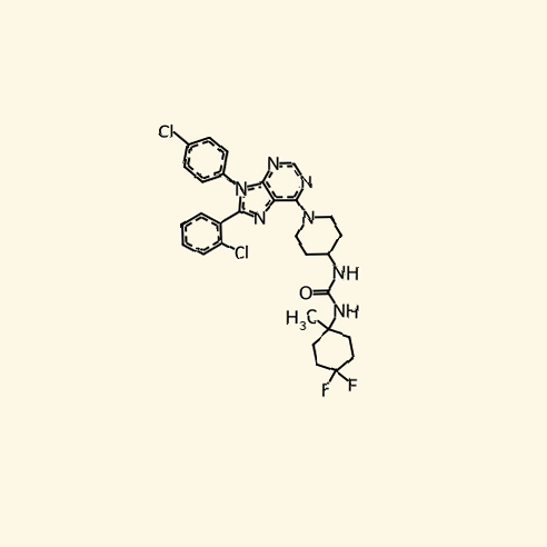 CC1(NC(=O)NC2CCN(c3ncnc4c3nc(-c3ccccc3Cl)n4-c3ccc(Cl)cc3)CC2)CCC(F)(F)CC1